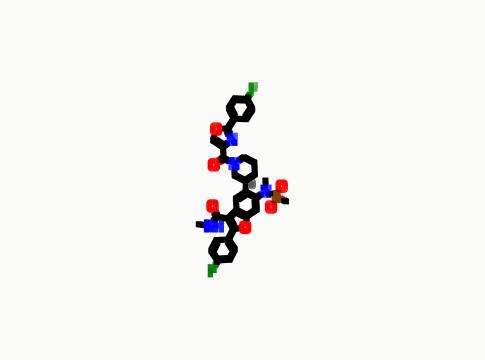 CNC(=O)c1c(-c2ccc(F)cc2)oc2cc(N(C)S(C)(=O)=O)c([C@@H]3CCCN(C(=O)c4coc(-c5ccc(F)cc5)n4)C3)cc12